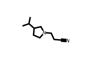 CC(C)C1CCN(CCC#N)C1